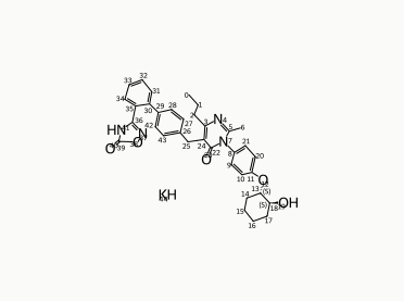 CCCc1nc(C)n(-c2ccc(O[C@H]3CCCC[C@@H]3O)cc2)c(=O)c1Cc1ccc(-c2ccccc2-c2noc(=O)[nH]2)cc1.[KH]